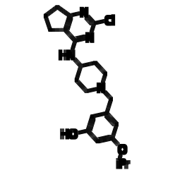 CC(C)Oc1cc(O)cc(CN2CCC(Nc3nc(Cl)nc4c3CCC4)CC2)c1